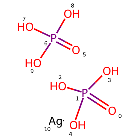 O=P(O)(O)O.O=P(O)(O)O.[Ag]